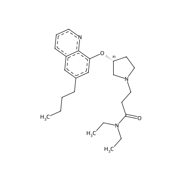 CCCCc1cc(O[C@@H]2CCN(CCC(=O)N(CC)CC)C2)c2ncccc2c1